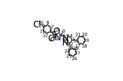 C/C(=N\S(=O)(=O)c1ccc(Cl)cc1)N1CC(c2ccccc2)C(c2ccccc2)=N1